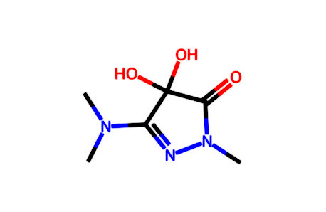 CN(C)C1=NN(C)C(=O)C1(O)O